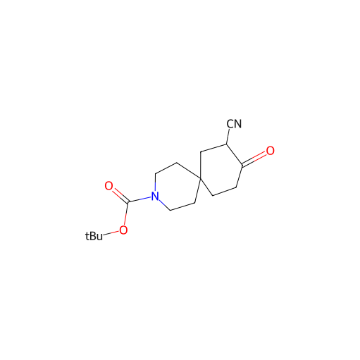 CC(C)(C)OC(=O)N1CCC2(CCC(=O)C(C#N)C2)CC1